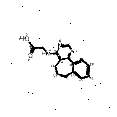 O=C(O)CNc1ncnc2c1CCCc1ccccc1-2